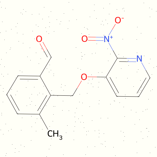 Cc1cccc(C=O)c1COc1cccnc1[N+](=O)[O-]